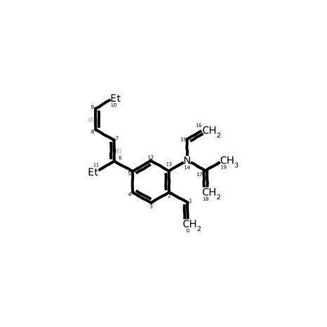 C=Cc1ccc(/C(=C/C=C\CC)CC)cc1N(C=C)C(=C)C